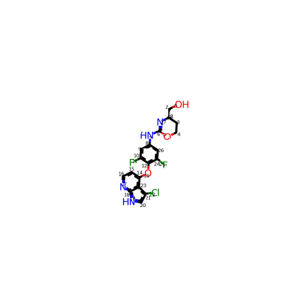 OC[C@H]1CCOC(Nc2cc(F)c(Oc3ccnc4[nH]cc(Cl)c34)c(F)c2)=N1